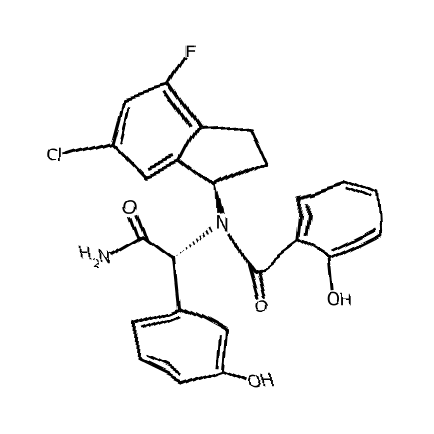 NC(=O)[C@@H](c1cccc(O)c1)N(C(=O)c1ccccc1O)[C@@H]1CCc2c(F)cc(Cl)cc21